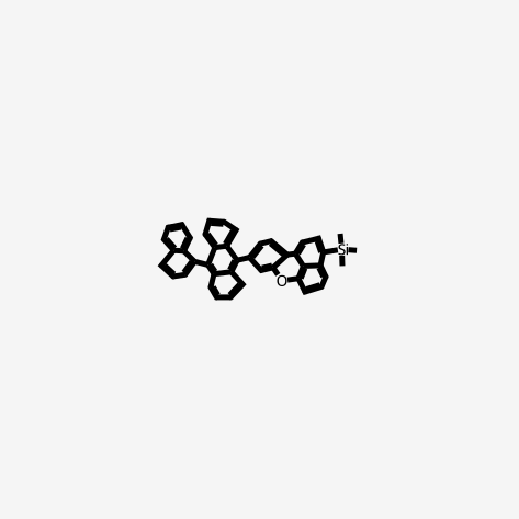 C[Si](C)(C)c1ccc2c3c(cccc13)Oc1cc(-c3c4ccccc4c(-c4cccc5ccccc45)c4ccccc34)ccc1-2